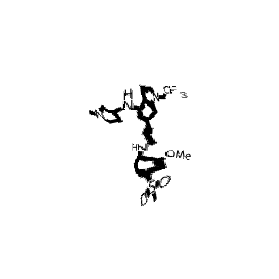 COc1cc(S(C)(=O)=O)ccc1NCC#Cc1cc(NC2CCN(C)C2)c2ccn(CC(F)(F)F)c2c1